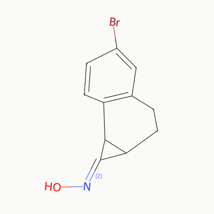 O/N=C1/C2CCc3cc(Br)ccc3C12